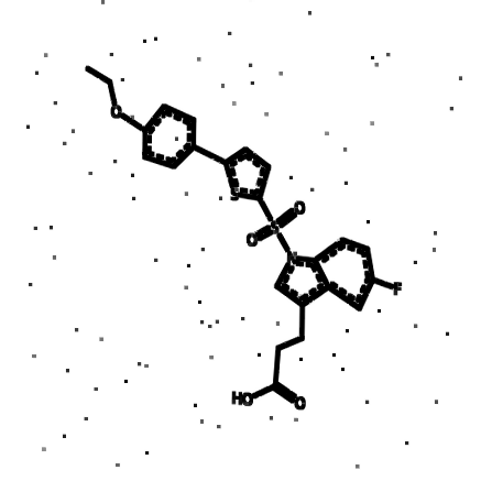 CCOc1ccc(-c2ccc(S(=O)(=O)n3cc(CCC(=O)O)c4cc(F)ccc43)s2)cc1